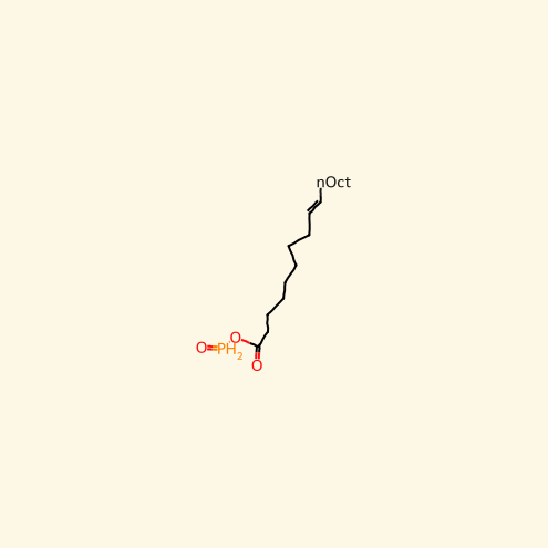 CCCCCCCCC=CCCCCCCCC(=O)O[PH2]=O